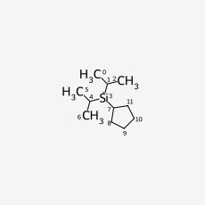 CC(C)[Si](C(C)C)C1CCCC1